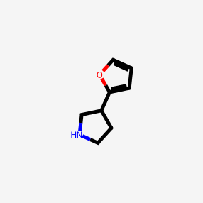 c1coc(C2CCNC2)c1